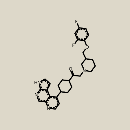 O=C(CN1CCCC(COc2ccc(F)cc2F)C1)C1CCC(c2ccnc3cnc4[nH]ccc4c23)CC1